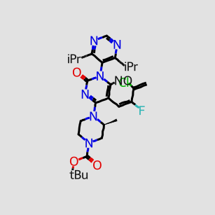 C=C(Cl)/C(F)=C\c1c(N2CCN(C(=O)OC(C)(C)C)C[C@@H]2C)nc(=O)n(-c2c(C(C)C)ncnc2C(C)C)c1N=O